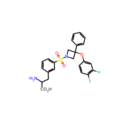 NC(Cc1cccc(S(=O)(=O)N2CC(Oc3ccc(F)c(F)c3)(c3ccccc3)C2)c1)C(=O)O